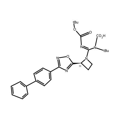 CC(C)(C)OC(=O)N=C(N1CC[C@H]1c1nc(-c2ccc(-c3ccccc3)cc2)no1)N(C(=O)O)C(C)(C)C